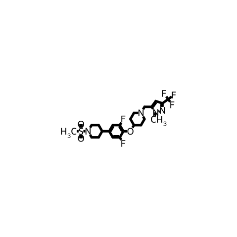 Cn1nc(C(F)(F)F)cc1CN1CCC(Oc2c(F)cc(C3CCN(S(C)(=O)=O)CC3)cc2F)CC1